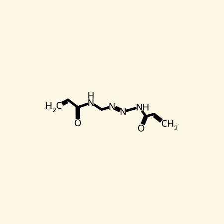 C=CC(=O)NCN=NNC(=O)C=C